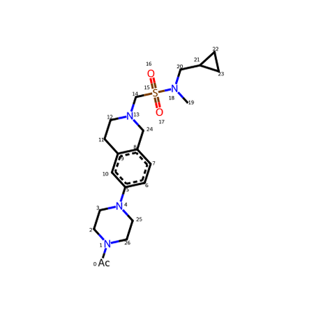 CC(=O)N1CCN(c2ccc3c(c2)CCN(CS(=O)(=O)N(C)CC2CC2)C3)CC1